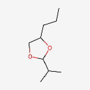 CCCC1COC(C(C)C)O1